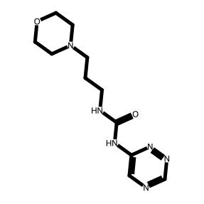 O=C(NCCCN1CCOCC1)Nc1cncnn1